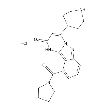 Cl.O=C(c1cccc2nn3c(C4CCNCC4)cc(=O)[nH]c3c12)N1CCCC1